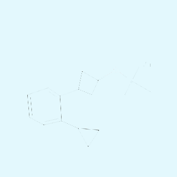 CC(C)(C)[Si](C)(C)OC1CC(c2ccccc2C2CC2)C1